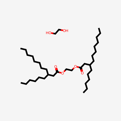 CCCCCCCCC(CCCCCC)CC(=O)OCCOC(=O)CC(CCCCCC)CCCCCCCC.OCCO